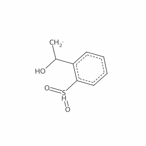 [CH2]C(O)c1ccccc1[SH](=O)=O